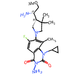 COC[C@@H](N)[C@H]1CN(c2c(F)cc3c(=O)n(N)c(=O)n(C4CC4)c3c2C)CC1(C)C